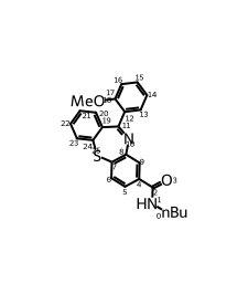 CCCCNC(=O)c1ccc2c(c1)N=C(c1ccccc1OC)c1ccccc1S2